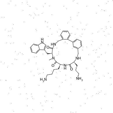 CN1C(=O)[C@H](CCCCN)NC(=O)[C@H](CCCN)NCc2cccc(c2)-c2ccccc2CNC(=O)[C@@H]1Cc1c[nH]c2ccccc12